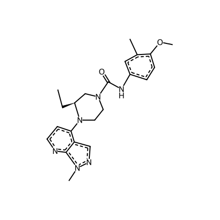 CC[C@H]1CN(C(=O)Nc2ccc(OC)c(C)c2)CCN1c1ccnc2c1cnn2C